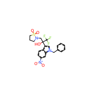 O=[N+]([O-])c1ccc2c(C(O)(CN3CCCS3(=O)=O)C(F)(F)F)cn(Cc3ccccc3)c2c1